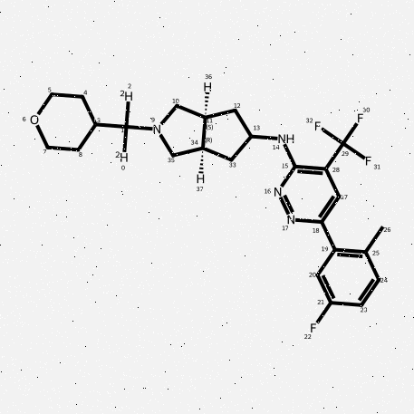 [2H]C([2H])(C1CCOCC1)N1C[C@H]2CC(Nc3nnc(-c4cc(F)ccc4C)cc3C(F)(F)F)C[C@H]2C1